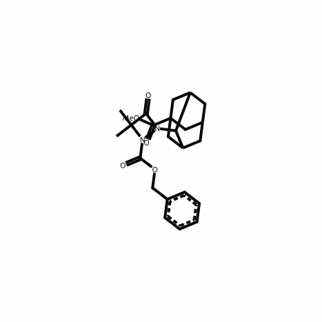 COC(=O)C12CC3CC(C1)C(N1C(=O)C(C)(C)N1C(=O)OCc1ccccc1)C(C3)C2